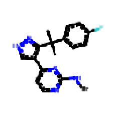 CC(C)Nc1nccc(-c2c[nH]nc2C(C)(C)c2ccc(F)cc2)n1